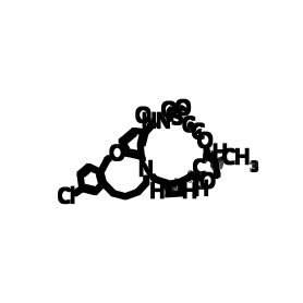 C[C@@H]1CO[C@@H]2C[C@@H]1OCCS(=O)(=O)NC(=O)c1ccc3c(c1)N(CCCCc1cc(Cl)ccc1CO3)C[C@@H]1CC[C@H]12